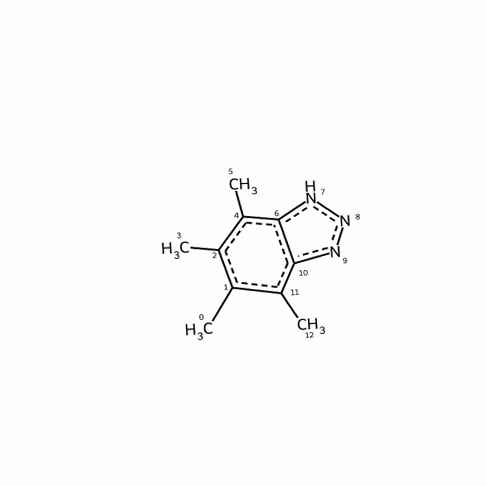 Cc1c(C)c(C)c2[nH]nnc2c1C